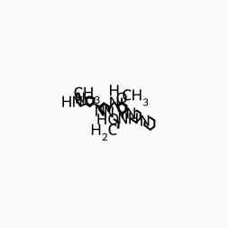 C=CC(O)Nc1cc(Nc2cc(-c3ccc4c(c3)CNN4C)ncn2)c(OC)cc1N1CCC(N2CCCCC2)CC1